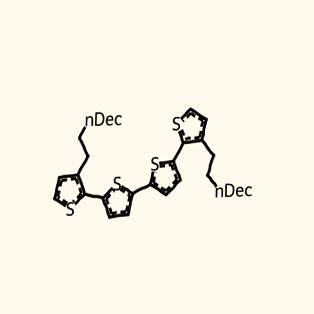 CCCCCCCCCCCCc1ccsc1-c1ccc(-c2ccc(-c3sccc3CCCCCCCCCCCC)s2)s1